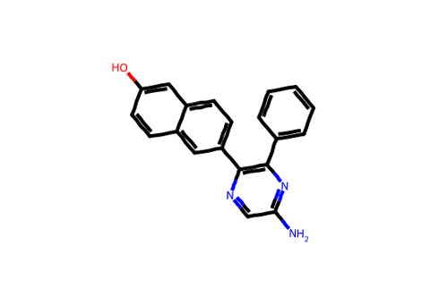 Nc1cnc(-c2ccc3cc(O)ccc3c2)c(-c2ccccc2)n1